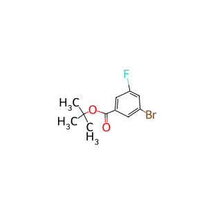 CC(C)(C)OC(=O)c1cc(F)cc(Br)c1